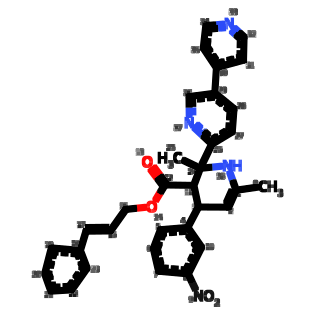 CC1=CC(c2cccc([N+](=O)[O-])c2)C(C(=O)OCC=Cc2ccccc2)C(C)(c2ccc(-c3ccncc3)cn2)N1